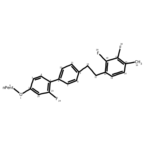 CCCCCOc1ccc(-c2ccc(CCc3ccc(C)c(F)c3F)cc2)c(F)c1